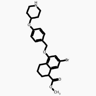 COC(=O)C1CCCc2c(OCc3ccc(OC4CCNCC4)cc3)cc(Br)cc21